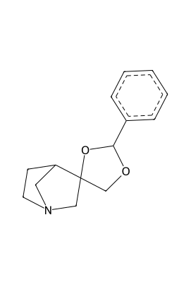 c1ccc(C2OCC3(CN4CCC3C4)O2)cc1